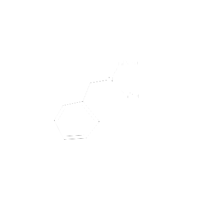 CCCCCN(CCCCC)Cc1c[c]ccc1